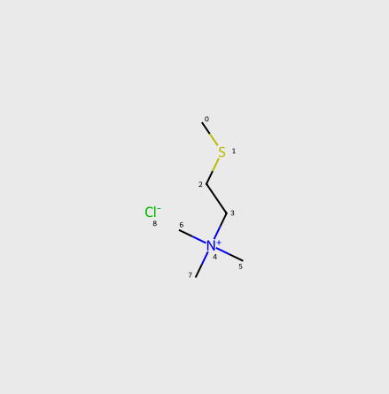 CSCC[N+](C)(C)C.[Cl-]